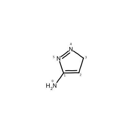 NC1=CCN=N1